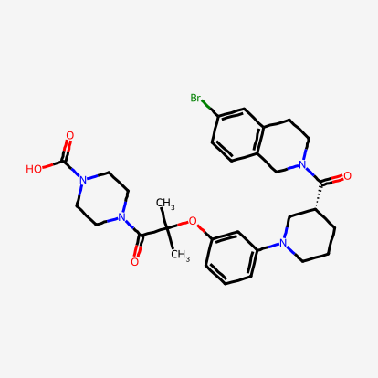 CC(C)(Oc1cccc(N2CCC[C@@H](C(=O)N3CCc4cc(Br)ccc4C3)C2)c1)C(=O)N1CCN(C(=O)O)CC1